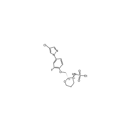 CCS(=O)(=O)N[C@H]1CCCO[C@@H]1COc1ccc(-n2cc(Cl)cn2)cc1F